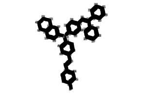 Cc1ccc(C=Cc2ccc(N(c3ccc(C=C(c4ccccc4)c4ccccc4)cc3)c3ccc4c(c3)CCCC4)cc2)cc1